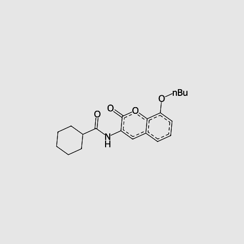 CCCCOc1cccc2cc(NC(=O)C3CCCCC3)c(=O)oc12